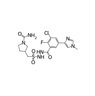 Cn1cnc(-c2cc(Cl)c(F)c(C(=O)NNS(=O)(=O)CC3CCN(C(N)=O)C3)c2)c1